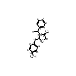 CC(c1ccccc1)N1C(=O)CSC1Cc1ccc(O)cc1